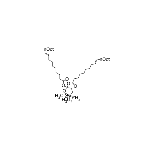 CCCCCCCCC=CCCCCCCCC(=O)OC1(OC(=O)CCCCCCCC=CCCCCCCCC)C[CH2][Sn]([CH3])([CH3])[Sn]([CH3])([CH3])[O]1